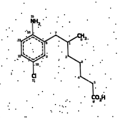 CC(CCCCC(=O)O)Cc1cc(Cl)ccc1N